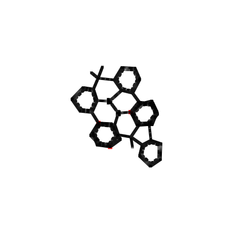 CC1(C)c2cccc(-c3ccccc3)c2N(B2c3ccccc3C3(C)c4ccccc4-c4cccc2c43)c2c(-c3ccccc3)cccc21